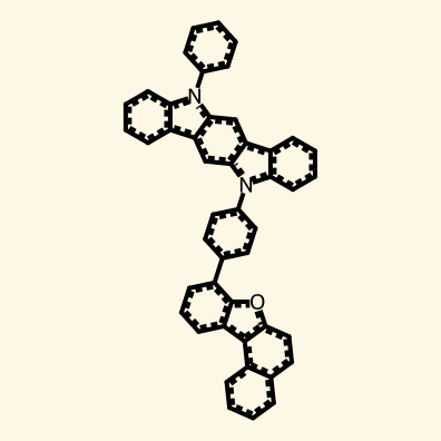 c1ccc(-n2c3ccccc3c3cc4c(cc32)c2ccccc2n4-c2ccc(-c3cccc4c3oc3ccc5ccccc5c34)cc2)cc1